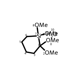 COC1(OC)CCCC[Si]1(OC)OC.O